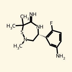 CN1C[C@@H](c2cc(N)ccc2F)NC(=N)C(C)(C)S1